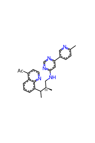 CC(=O)c1ccnc2c(C(C)[C@H](C)CNc3cc(-c4ccc(C)nc4)ncn3)cccc12